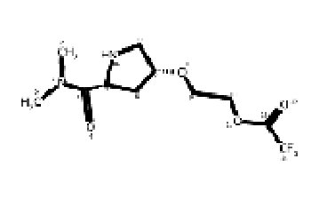 CN(C)C(=O)[C@@H]1C[C@@H](OCCOC(=O)C(F)(F)F)CN1